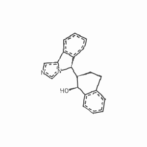 O[C@@H]1c2ccccc2CC[C@@H]1[C@@H]1c2ccccc2-c2cncn21